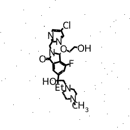 CCC(O)(CN1CCN(C)CC1)c1cc(F)c2c(c1)C(=O)N(Cc1ncc(Cl)cn1)[C@@H]2OCCO